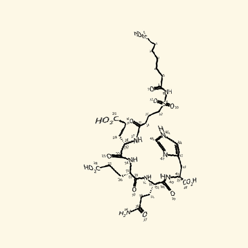 CCCCCCCCCCCCCCCC(=O)NS(=O)(=O)CCCC(=O)N[C@@H](CCC(=O)O)C(=O)N[C@@H](CCC(=O)O)C(=O)N[C@@H](CCC(N)=O)C(=O)N[C@@H](Cc1c[nH]cn1)C(=O)O